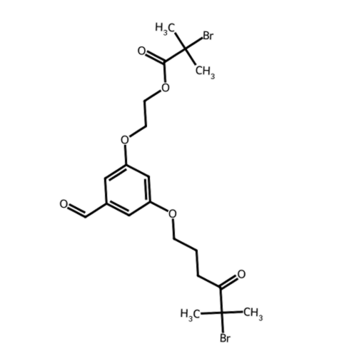 CC(C)(Br)C(=O)CCCOc1cc(C=O)cc(OCCOC(=O)C(C)(C)Br)c1